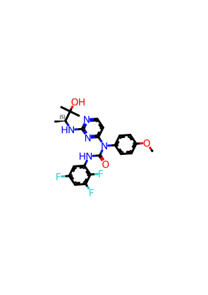 COc1ccc(N(C(=O)Nc2cc(F)cc(F)c2F)c2ccnc(N[C@@H](C)C(C)(C)O)n2)cc1